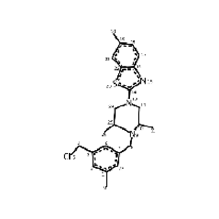 Cc1cc(CCl)cc(CN2C(C)CN(c3nc4ccc(C)cc4s3)CC2C)c1